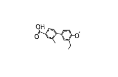 CCc1cc(-c2ccc(C(=O)O)cc2C)ccc1OC